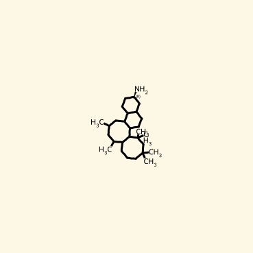 CC1CC(C)C2CCCC(C)(C)CC(C)(C)C2C2CCC3C[C@H](N)CCC3C2C1